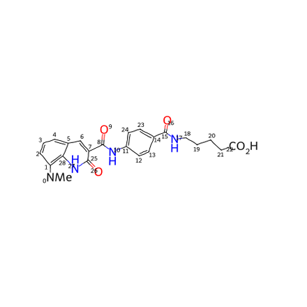 CNc1cccc2cc(C(=O)Nc3ccc(C(=O)NCCCCC(=O)O)cc3)c(=O)[nH]c12